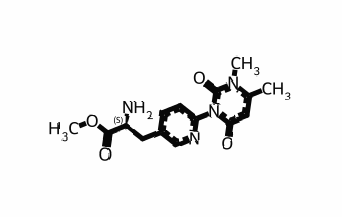 COC(=O)[C@@H](N)Cc1ccc(-n2c(=O)cc(C)n(C)c2=O)nc1